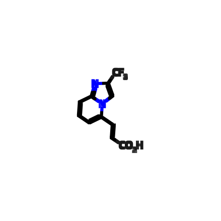 O=C(O)C=Cc1cccc2nc(C(F)(F)F)cn12